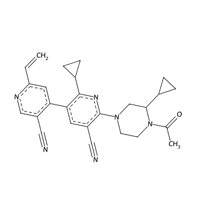 C=Cc1cc(-c2cc(C#N)c(N3CCN(C(C)=O)C(C4CC4)C3)nc2C2CC2)c(C#N)cn1